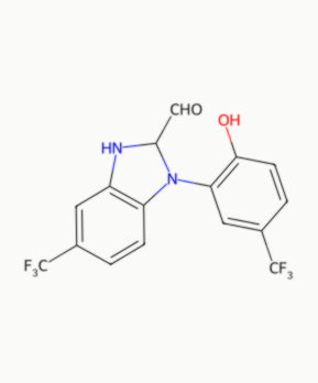 O=CC1Nc2cc(C(F)(F)F)ccc2N1c1cc(C(F)(F)F)ccc1O